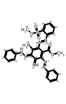 COC(=O)C1=C(/N=N/c2ccccc2)C(=N)/C(=N/Nc2ccccc2)C(N)=C1/N=N/c1ccccc1S(=O)(=O)OC